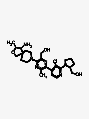 Cc1nc(N2CCC3(CC2)CO[C@@H](C)[C@H]3N)c(CO)nc1-c1ccnc(N2CCCC2CO)c1Cl